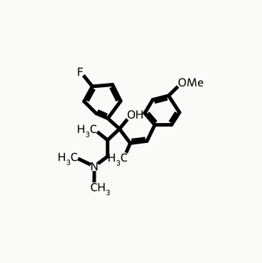 COc1ccc(C=C(C)C(O)(c2ccc(F)cc2)C(C)CN(C)C)cc1